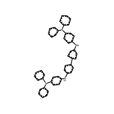 c1ccc(N(c2ccccc2)c2ccc(Nc3ccc(-c4ccc(Nc5ccc(N(c6ccccc6)c6ccccc6)cc5)cc4)cc3)cc2)cc1